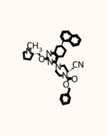 CN1CCC[C@H]1COc1nc2c(c(N3CCN(C(=O)OCc4ccccc4)[C@@H](CC#N)C3)n1)CC[C@H](c1cccc3ccccc13)C2